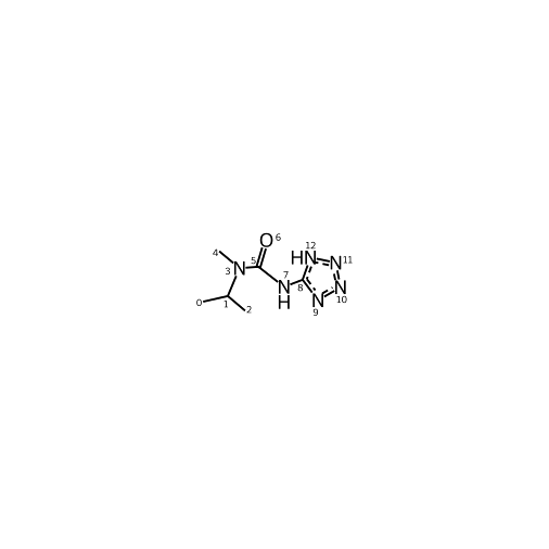 CC(C)N(C)C(=O)Nc1nnn[nH]1